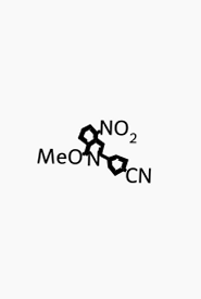 COc1nc(-c2ccc(C#N)cc2)cc2c([N+](=O)[O-])cccc12